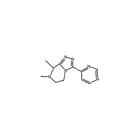 CC1c2nnc(-c3ccncn3)n2CCN1C